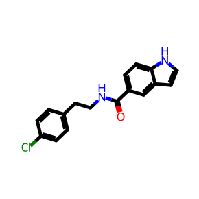 O=C(NCCc1ccc(Cl)cc1)c1ccc2[nH]ccc2c1